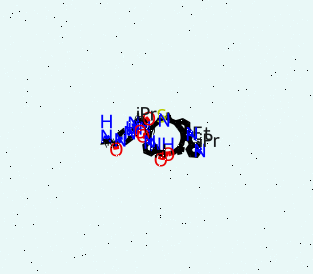 CCn1c(-c2cccnc2C(C)C)c2c3cc(ccc31)-c1csc(n1)C[C@H](NC(=O)[C@H](C(C)C)N(C)C(=O)N1CCN(C(=O)[C@H]3CN3)CC1)C(=O)N1CCC[C@H](N1)C(=O)OCC(C)(C)C2